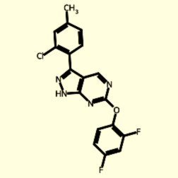 Cc1ccc(-c2n[nH]c3nc(Oc4ccc(F)cc4F)ncc23)c(Cl)c1